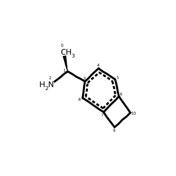 C[C@H](N)c1ccc2c(c1)CC2